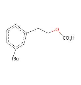 CC(C)(C)c1cccc(CCOC(=O)O)c1